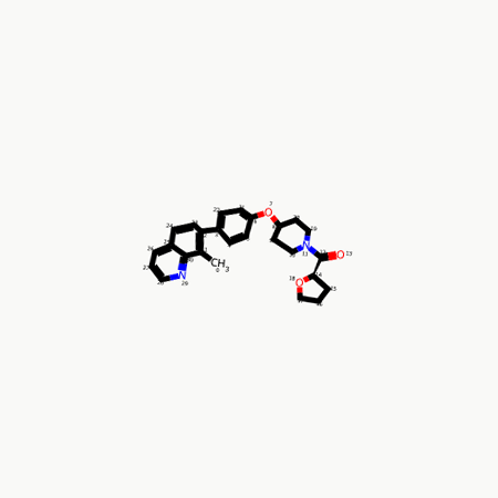 Cc1c(-c2ccc(OC3CCN(C(=O)[C@H]4CCCO4)CC3)cc2)ccc2cccnc12